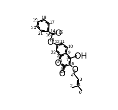 CC(C)=CCOc1c(O)c2ccc(OC(=O)c3ccccc3)cc2oc1=O